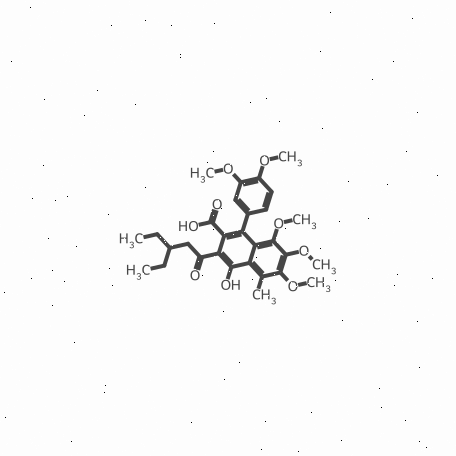 CCC(CC)CC(=O)c1c(C(=O)O)c(-c2ccc(OC)c(OC)c2)c2c(OC)c(OC)c(OC)c(C)c2c1O